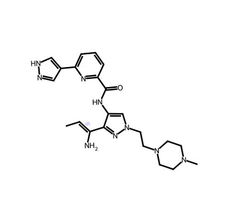 C/C=C(\N)c1nn(CCN2CCN(C)CC2)cc1NC(=O)c1cccc(-c2cn[nH]c2)n1